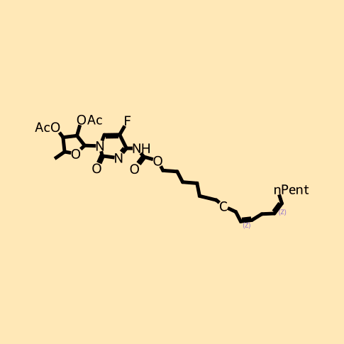 CCCCC/C=C\C/C=C\CCCCCCCCOC(=O)Nc1nc(=O)n(C2OC(C)C(OC(C)=O)C2OC(C)=O)cc1F